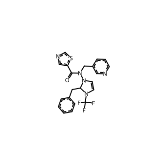 O=C(c1cncs1)N(Cc1cccnc1)N1C=CN(C(F)(F)F)C1Cc1ccccc1